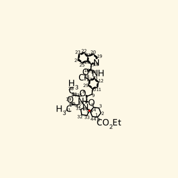 CCOC(=O)[C@H]1CC[C@H](OC(C(=O)Cc2ccc(NC(=O)c3nccc4ccccc34)c(Cl)c2)(N2CCCC2)N2C[C@@H](C)O[C@@H](C)C2)CC1